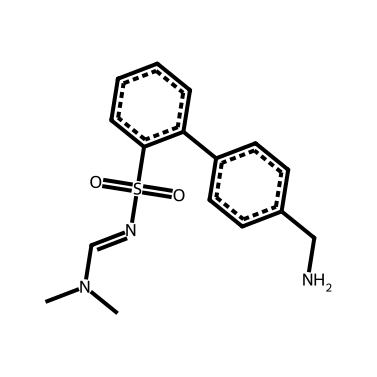 CN(C)/C=N/S(=O)(=O)c1ccccc1-c1ccc(CN)cc1